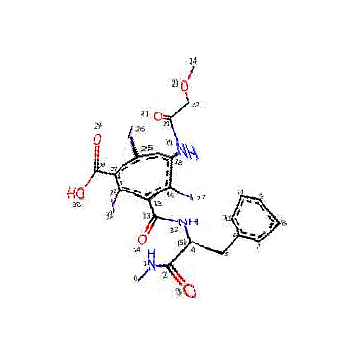 CNC(=O)[C@H](Cc1ccccc1)NC(=O)c1c(I)c(NC(=O)COC)c(I)c(C(=O)O)c1I